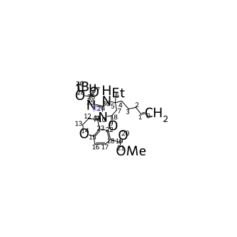 C=CCCCC1(CC)CC(=O)N([C@@H]2CCOc3ccc(C(=O)OC)cc32)/C(=N/C(=O)OC(C)(C)C)N1